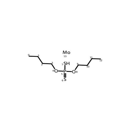 CCCCOP(=S)(S)OCCCC.[Mo]